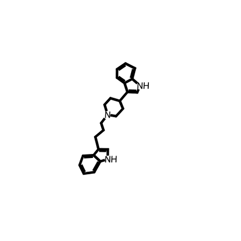 c1ccc2c(CCCN3CCC(c4c[nH]c5ccccc45)CC3)c[nH]c2c1